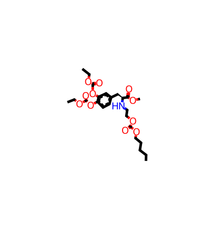 CCCCCOC(=O)OCCN[C@@H](Cc1ccc(OC(=O)OCC)c(OC(=O)OCC)c1)C(=O)OC